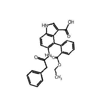 CCOC(=O)c1ccccc1-c1c(NC(=O)Cc2ccccc2)ccc2[nH]cc(C(=O)O)c12